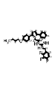 CCCCOc1ccc(-c2ccc(-c3ccccc3)n2CC(=O)NC(=N)NCc2ccc(F)c(F)c2F)cc1